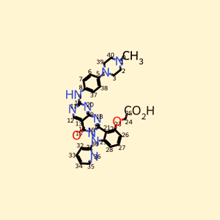 CN1CCN(c2ccc(Nc3ncc4c(=O)n5c(nc4n3)c3c(OCC(=O)O)cccc3n5-c3ccccn3)cc2)CC1